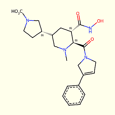 CN1CC([C@@H]2CCN(C(=O)O)C2)C[C@H](C(=O)NO)[C@H]1C(=O)N1CC=C(c2ccccc2)C1